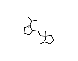 CC(C)N1CCCC1[CH]CC1(C)CCCN1C